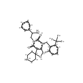 NC(Cn1c(=O)c2c(n(Cc3c(F)cccc3C(F)(F)F)c1=O)COC21CCNCC1)c1ccccc1